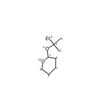 CCC(C)(C)OC1CCCCO1